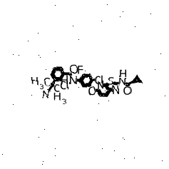 CC(C)(C#N)c1cccc(C(=O)Nc2cc(Oc3ccc4nc(NC(=O)C5CC5)sc4n3)c(Cl)cc2F)c1Cl